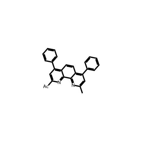 CC(=O)c1cc(-c2ccccc2)c2ccc3c(-c4ccccc4)cc(C)nc3c2n1